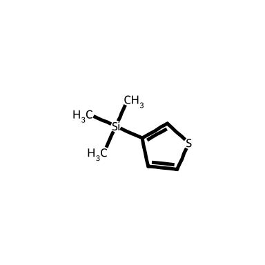 C[Si](C)(C)c1ccsc1